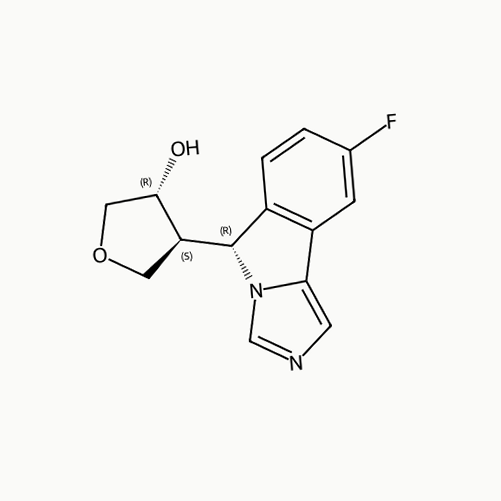 O[C@H]1COC[C@@H]1[C@@H]1c2ccc(F)cc2-c2cncn21